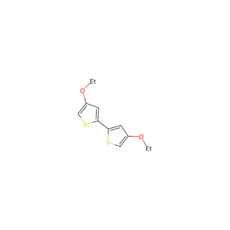 CCOc1csc(-c2cc(OCC)cs2)c1